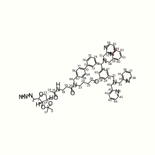 CC1(C)O[C@@H]2[C@H](O1)[C@@H](CN=[N+]=[N-])O[C@@H]2CC(=O)NCCC(=O)N(CCCCOc1cc(CN(Cc2ccccn2)Cc2ccccn2)cc(CN(Cc2ccccn2)Cc2ccccn2)c1)Cc1ccc(-c2ccccc2)cc1